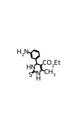 CCOC(=O)C1=C(C)NC(=S)NC1c1cccc(N)c1